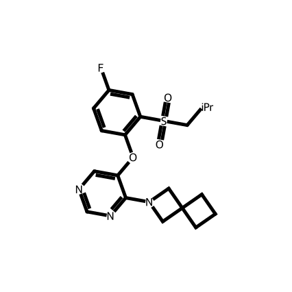 CC(C)CS(=O)(=O)c1cc(F)ccc1Oc1cncnc1N1CC2(CCC2)C1